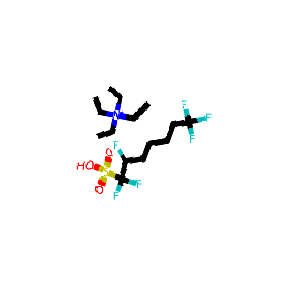 CC[N+](CC)(CC)CC.O=S(=O)(O)C(F)(F)C(F)CCCCC(F)(F)F